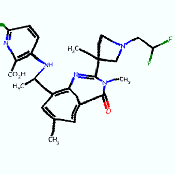 Cc1cc(C(C)Nc2ccc(Cl)nc2C(=O)O)c2nc(C3(C)CN(CC(F)F)C3)n(C)c(=O)c2c1